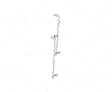 CCCCCCCCCCCCCCCCCC(=O)[O-].CCCCCCCCCCCCCCCCCC(=O)[O-].[Be+2]